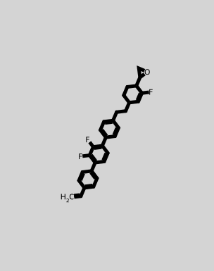 C=Cc1ccc(-c2ccc(-c3ccc(CCC4C=C(F)C(C5CO5)CC4)cc3)c(F)c2F)cc1